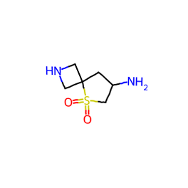 NC1CC2(CNC2)S(=O)(=O)C1